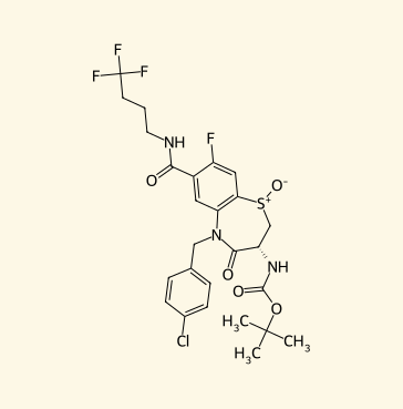 CC(C)(C)OC(=O)N[C@H]1C[S+]([O-])c2cc(F)c(C(=O)NCCCC(F)(F)F)cc2N(Cc2ccc(Cl)cc2)C1=O